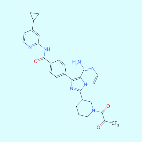 Nc1nccn2c(C3CCCN(C(=O)C(=O)C(F)(F)F)C3)nc(-c3ccc(C(=O)Nc4cc(C5CC5)ccn4)cc3)c12